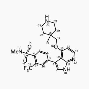 CNS(=O)(=O)c1ccc(-c2c[nH]c3nccc(OCC4(C)CCNCC4)c23)cc1C(F)(F)F